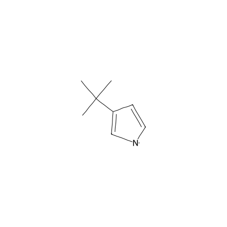 CC(C)(C)C1=C[N]C=C1